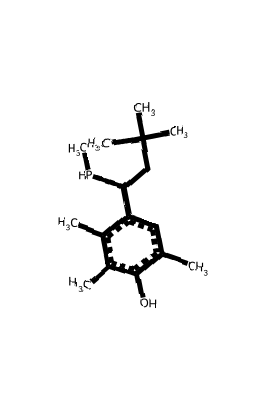 CPC(CC(C)(C)C)c1cc(C)c(O)c(C)c1C